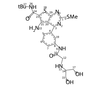 CSc1nc(-c2cccc(NC(=O)CNC(CO)CO)c2)c2c(N)c(C(=O)NC(C)(C)C)sc2n1